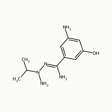 CC(C)N(N)/N=C(\N)c1cc(N)cc(O)c1